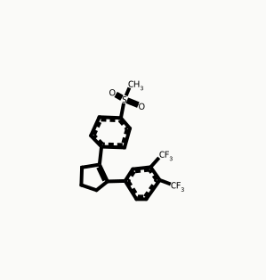 CS(=O)(=O)c1ccc(C2=C(c3ccc(C(F)(F)F)c(C(F)(F)F)c3)CCC2)cc1